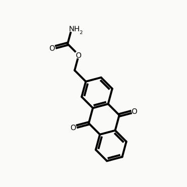 NC(=O)OCc1ccc2c(c1)C(=O)c1ccccc1C2=O